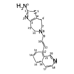 Nc1nc2c(s1)CCN(CC=Cc1cccc3ccncc13)CC2